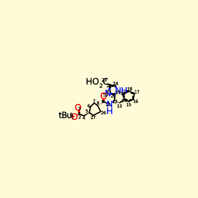 CC(C)(C)OC(=O)C[C@H]1CC[C@H](C(=O)N[C@@H](Cc2ccccc2)c2nc(C(=O)O)c[nH]2)CC1